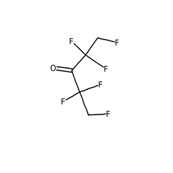 O=C(C(F)(F)CF)C(F)(F)CF